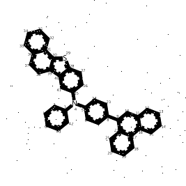 c1ccc(N(c2ccc(-c3cc4ccccc4c4ccccc34)cc2)c2ccc3sc4c5ccccc5ccc4c3c2)cc1